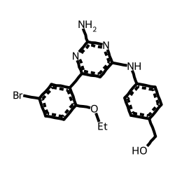 CCOc1ccc(Br)cc1-c1cc(Nc2ccc(CO)cc2)nc(N)n1